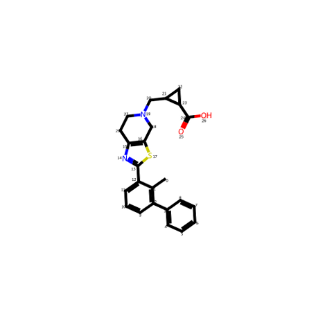 Cc1c(-c2ccccc2)cccc1-c1nc2c(s1)CN(CC1CC1C(=O)O)CC2